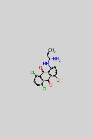 C=CC(N)Nc1ccc(O)c2c1C(=O)c1c(Cl)ccc(Cl)c1C2=O